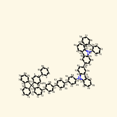 c1ccc(-c2ccc(C3(c4cccc(-c5ccc(-c6ccc(-c7ccc(-n8c9ccccc9c9cc(-c%10ccc%11c(c%10)c%10ccccc%10n%11-c%10ccccc%10-c%10ccccc%10)ccc98)cc7)cc6)cc5)c4)c4ccccc4-c4ccccc43)cc2)cc1